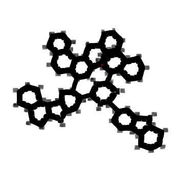 c1ccc2cc3c(cc(-c4cc5c(cc4-c4nc(-c6ccc7c(c6)sc6ccccc67)nc(-c6cccc7ccccc67)n4)oc4ccc6ccccc6c45)c4ccc5ccccc5c43)cc2c1